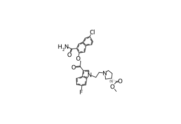 COC(=O)[C@H]1CCN(CCn2cc(C(=O)COc3cc4ccc(Cl)cc4cc3C(N)=O)c3ccc(F)cc32)C1